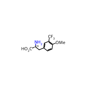 COc1ccc(C[C@H](N)C(=O)O)cc1C(F)(F)F